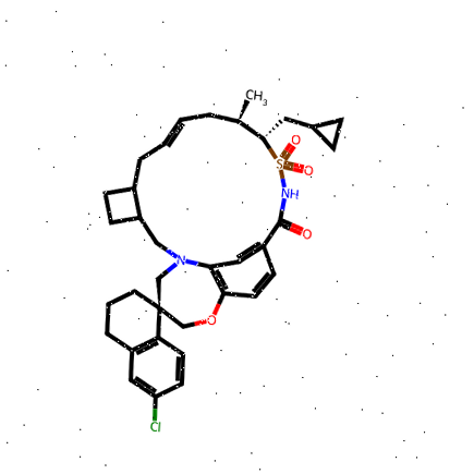 C[C@@H]1C/C=C/CC2CCC2CN2C[C@@]3(CCCc4cc(Cl)ccc43)COc3ccc(cc32)C(=O)NS(=O)(=O)[C@H]1CC1CC1